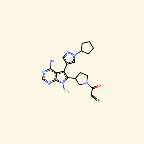 C=CC(=O)N1CCC(c2c(-c3cnn(C4CCCC4)c3)c3c(N)ncnc3n2C)C1